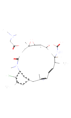 COc1cc2cc(c1Cl)N(C)C(=O)C[C@H](OC(=O)[C@H](C)N(C)C(C)=O)[C@]1(C)O[C@H]1[C@H](C)[C@@H]1CC(S)(NC(=O)O1)C(OC)/C=C/C=C(\C)C2